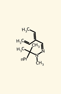 C=CC(/C=N\N(C)C(C)(C)CCC)=C\C